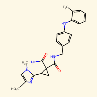 Cn1cc(C(=O)O)nc1C1CC1(C(N)=O)C(=O)NCc1ccc(Nc2ccccc2C(F)(F)F)cc1